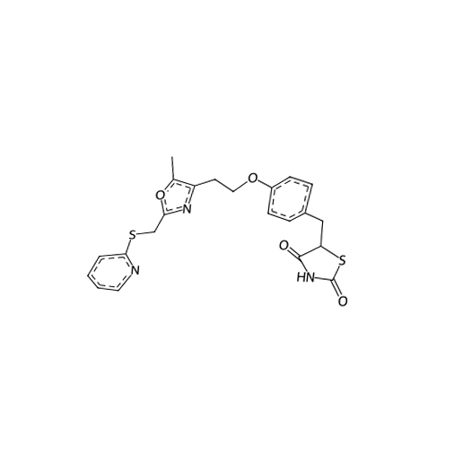 Cc1oc(CSc2ccccn2)nc1CCOc1ccc(CC2SC(=O)NC2=O)cc1